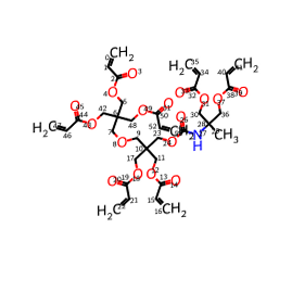 C=CC(=O)OCC(COCC(COC(=O)C=C)(COC(=O)C=C)COC(=O)NC(C)(COC(=O)C=C)COC(=O)C=C)(COC(=O)C=C)COC(=O)C=C